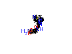 Cc1cccc(-n2nc(CC(=O)Nc3ccc(CS(N)(=O)=O)cc3)cc2-c2ccc3ncsc3c2)n1